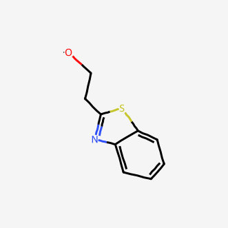 [O]CCc1nc2ccccc2s1